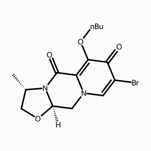 CCCCOc1c2n(cc(Br)c1=O)C[C@H]1OC[C@H](C)N1C2=O